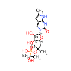 CCC(C)(C[C@H]1O[C@@H](n2cc3cc(C)[nH]c3nc2=O)[C@H](O)[C@@H]1O)OP(=O)(O)[C@@](C)(O)CC